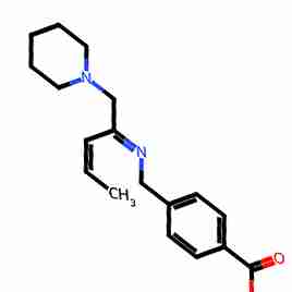 C/C=C\C(CN1CCCCC1)=N/Cc1ccc(C(=O)O)cc1